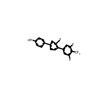 CCCc1ccc(-c2ccc(-c3cc(F)c(C(F)(F)F)c(F)c3)c(F)c2)cc1